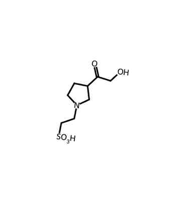 O=C(CO)C1CCN(CCS(=O)(=O)O)C1